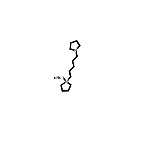 CCCCCCCCC[N+]1(CCCCCN2CCCC2)CCCC1